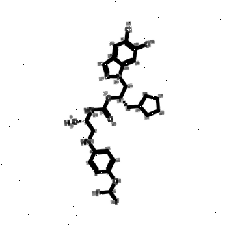 C[C@@H](CNc1ccc(OC(F)F)cc1)NC(=O)O[C@@H](CC1CCCC1)Cn1ncc2cc(Cl)c(Cl)cc21